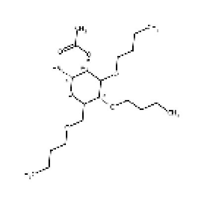 CCCCOCC1O[C@H](S)[C@H](OC(C)=O)C(OCCCC)[C@@H]1OCCCC